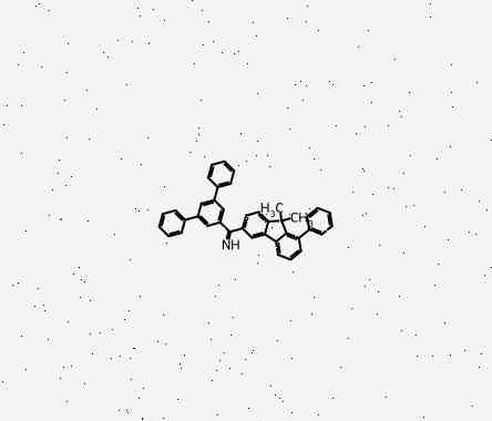 CC1(C)c2ccc(C(=N)c3cc(-c4ccccc4)cc(-c4ccccc4)c3)cc2-c2cccc(-c3ccccc3)c21